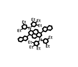 CCc1cc(CC)cc(N(c2cc(CC)c(CC)c(CC)c2)c2cc(-c3ccc4ccccc4c3)c3ccc4c(N(c5cc(CC)cc(CC)c5)c5cc(CC)c(CC)c(CC)c5)cc(-c5ccc6ccccc6c5)c5ccc2c3c54)c1